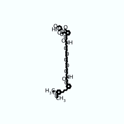 COc1ccc(CCCc2cccc(OCC(=O)NCCOCCOCCOCCOCCOCCNC(=O)COc3cccc4c3C(=O)N(C3CCC(=O)NC3=O)C4=O)c2)cc1OC